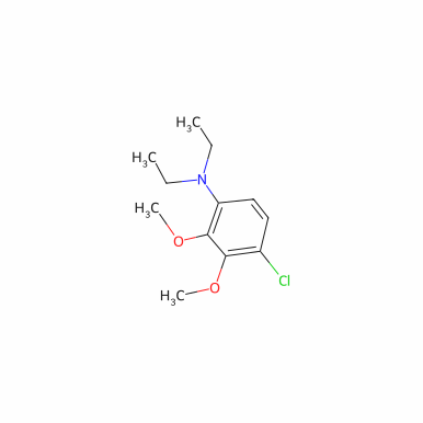 CCN(CC)c1ccc(Cl)c(OC)c1OC